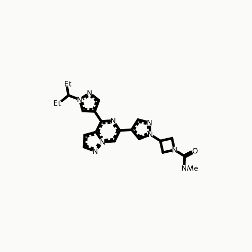 CCC(CC)n1cc(-c2nc(-c3cnn(C4CN(C(=O)NC)C4)c3)cn3nccc23)cn1